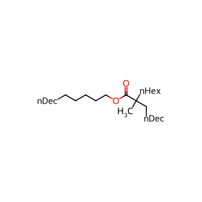 CCCCCCCCCCCCCCCOC(=O)C(C)(CCCCCC)CCCCCCCCCCC